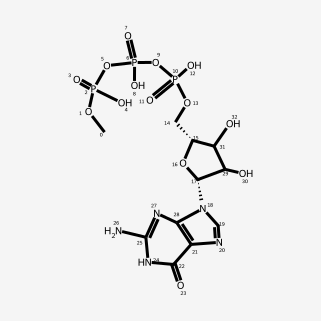 COP(=O)(O)OP(=O)(O)OP(=O)(O)OC[C@H]1O[C@@H](n2cnc3c(=O)[nH]c(N)nc32)C(O)C1O